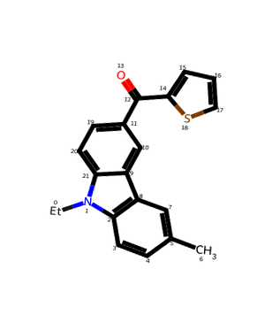 CCn1c2ccc(C)cc2c2cc(C(=O)c3cccs3)ccc21